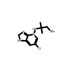 CC(C)(C)CC(C)(C)NN1C=C(Cl)C=C2NCN=C21